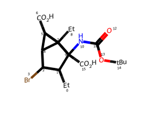 CCC1C(Br)C2C(C(=O)O)C2(CC)C1(NC(=O)OC(C)(C)C)C(=O)O